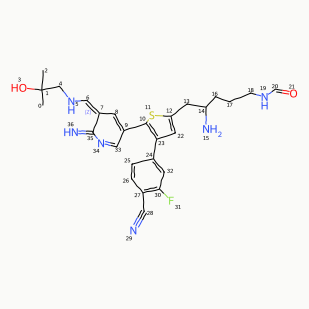 CC(C)(O)CN/C=C1/C=C(c2sc(CC(N)CCCNC=O)cc2-c2ccc(C#N)c(F)c2)C=NC1=N